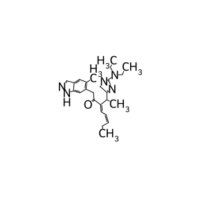 CC/C=C\C=C(\C(=O)Cc1cc2[nH]ncc2cc1C)C(C)C1=NC(N(CC)CC)=NC1